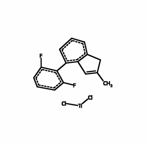 CC1=Cc2c(cccc2-c2c(F)cccc2F)C1.[Cl][Ti][Cl]